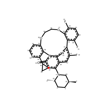 C[C@H]1CC[C@H](C)N(c2nc(=O)n3c4nc(c(F)cc24)-c2c(F)ccc(F)c2OCCOc2ccnc(C4CC4)c2-3)C1